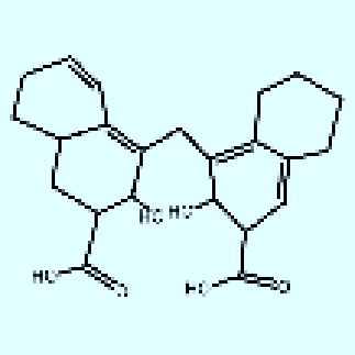 O=C(O)C1C=C2CCCCC2=C(CC2=C3C=CCCC3CC(C(=O)O)C2O)C1O